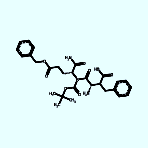 CC(C)(C)OC(=O)N(C(=O)[C@@H](N)C(Cc1ccccc1)C(=O)O)[C@H](CCC(=O)OCc1ccccc1)C(N)=O